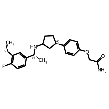 COc1cc([C@@H](C)NC2CC[C@@H](c3ccc(OCC(N)=O)cc3)C2)ccc1F